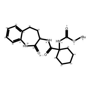 CC(C)(C)OC(=O)NC1(C(=O)NC2CCc3ccccc3NC2=O)CCCCC1